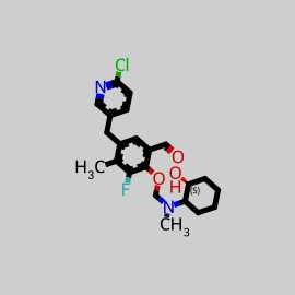 Cc1c(Cc2ccc(Cl)nc2)cc(C=O)c(OCN(C)C2CCCC[C@@H]2O)c1F